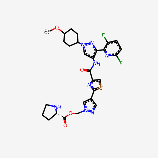 CCOC1CCC(n2cc(NC(=O)c3csc(-c4cnn(COC(=O)[C@@H]5CCCN5)c4)n3)c(-c3nc(F)ccc3F)n2)CC1